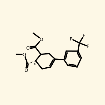 COC(=O)C1CC(c2cccc(C(F)(F)F)c2)=CC[C@@H]1C(=O)OC